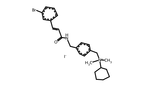 C[N+](C)(Cc1ccc(CNC(=O)C=Cc2cccc(Br)c2)cc1)C1CCCCC1.[I-]